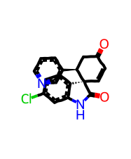 O=C1C=C[C@@]2(C(=O)Nc3cc(Cl)ccc32)[C@@H](c2cccnc2)C1